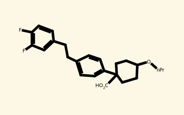 CCCOC1CCC(C(=O)O)(c2ccc(CCc3ccc(F)c(F)c3)cc2)CC1